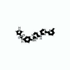 Cc1cccc(-c2nccc(Nc3ccnc(Nc4ccc(NS(=O)(=O)C5CCNC5)cc4)n3)n2)n1